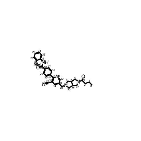 CCCC(=O)N1CC2CN(Cc3cnc(-c4ccc(C(=O)Nc5ccccc5N)cc4)c(C#N)c3)CC2C1